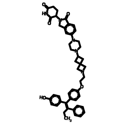 CCC(=C(c1ccc(O)cc1)c1ccc(OCCN2CC3(CC(N4CCN(c5ccc6c(c5)CN(C5CCC(=O)NC5=O)C6=O)CC4)C3)C2)cc1)c1ccccc1